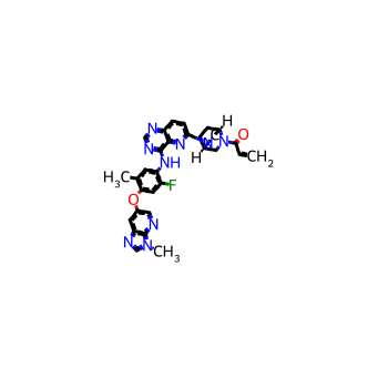 C=CC(=O)N1C[C@@H]2CC[C@H]1CN2c1ccc2ncnc(Nc3cc(C)c(Oc4cnc5c(c4)ncn5C)cc3F)c2n1